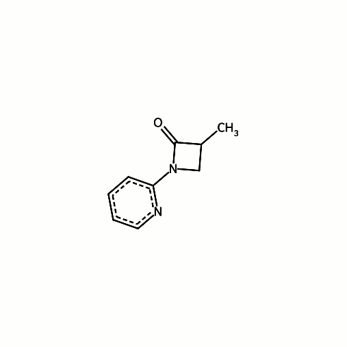 CC1CN(c2ccccn2)C1=O